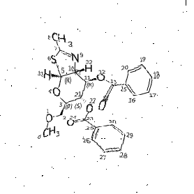 COC[C@H]1O[C@@H]2SC(C)=N[C@@H]2[C@@H](OC(=O)c2ccccc2)[C@@H]1OC(=O)c1ccccc1